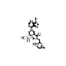 CN1CCNC(CNC(=O)C2=CN(c3ncnc4[nH]cnc34)CCS2)C1.Cl.Cl